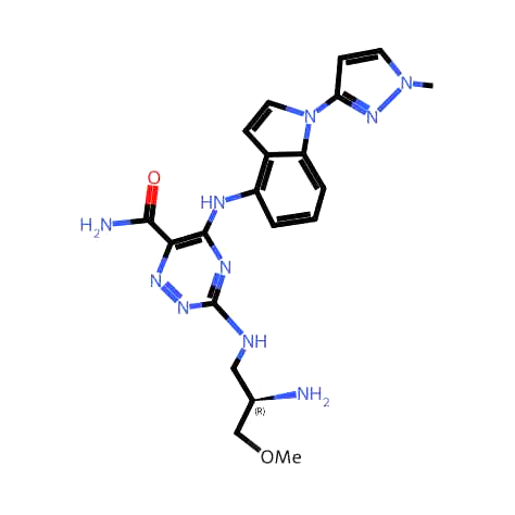 COC[C@H](N)CNc1nnc(C(N)=O)c(Nc2cccc3c2ccn3-c2ccn(C)n2)n1